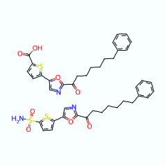 NS(=O)(=O)c1ccc(-c2cnc(C(=O)CCCCCCc3ccccc3)o2)s1.O=C(CCCCCCc1ccccc1)c1ncc(-c2ccc(C(=O)O)s2)o1